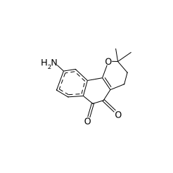 CC1(C)CCC2=C(O1)c1cc(N)ccc1C(=O)C2=O